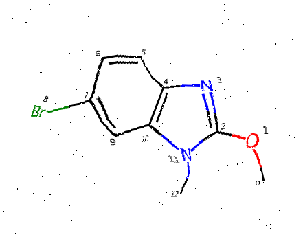 COc1nc2ccc(Br)cc2n1C